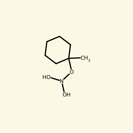 CC1(ON(O)O)CCCCC1